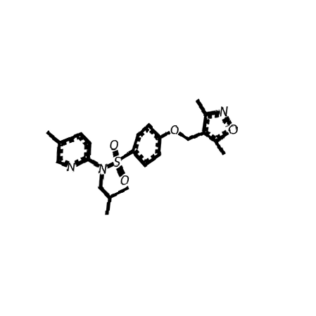 Cc1ccc(N(CC(C)C)S(=O)(=O)c2ccc(OCc3c(C)noc3C)cc2)nc1